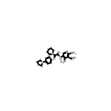 N=Cc1c(N)ncc(NC(=O)C(=O)N2CCCC[C@H]2c2cccc(N3CCCC3)c2)c1N